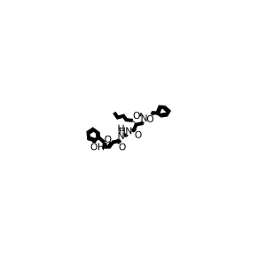 CCCCC[C@H](CN(C=O)OCc1ccccc1)C(=O)NCNC(=O)c1ccc(-c2ccccc2O)o1